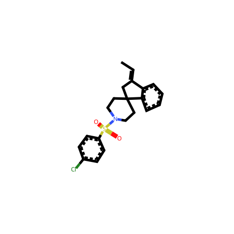 CC=C1CC2(CCN(S(=O)(=O)c3ccc(Cl)cc3)CC2)c2ccccc21